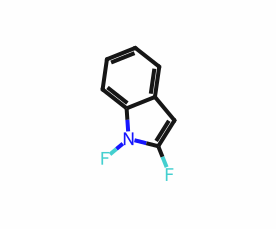 Fc1cc2ccccc2n1F